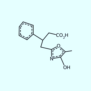 Cc1oc(CC(CC(=O)O)c2ccccc2)nc1O